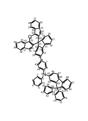 c1ccc(N(c2ccc(-c3ccc4c(c3)-c3ccccc3C43c4ccc5ccccc5c4Oc4c3ccc3ccccc43)cc2)c2ccc3c(c2)C(c2ccccc2)(c2ccccc2)c2ccccc2-3)cc1